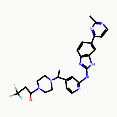 Cc1nccc(-c2ccc3nc(Nc4cc(C(C)N5CCN(C(O)CC(F)(F)F)CC5)ccn4)[nH]c3c2)n1